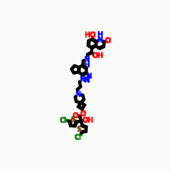 O=C(OC1CC2(CCN(CCCn3nnc4cc(CNC[C@H](O)c5ccc(O)c6[nH]c(=O)ccc56)c5c(c43)CCC5)CC2)C1)C(O)(c1ccc(Cl)s1)c1ccc(Cl)s1